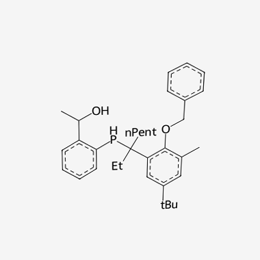 CCCCCC(CC)(Pc1ccccc1C(C)O)c1cc(C(C)(C)C)cc(C)c1OCc1ccccc1